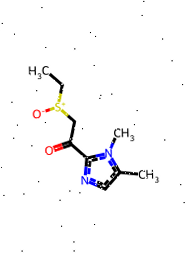 CC[S+]([O-])CC(=O)c1ncc(C)n1C